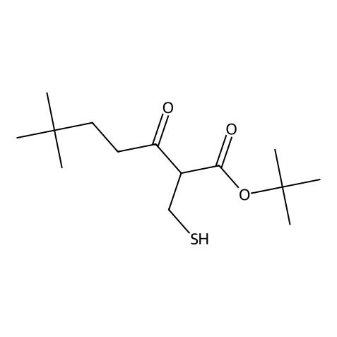 CC(C)(C)CCC(=O)C(CS)C(=O)OC(C)(C)C